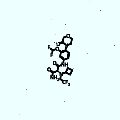 NC(=O)[C@@H](C(=O)Nc1ccc(N2CCOCC2=O)c(OC(F)F)c1)N(CC(F)(F)F)C1CCC1